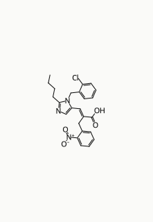 CCCCc1ncc(/C=C(\Cc2ccccc2[N+](=O)[O-])C(=O)O)n1Cc1ccccc1Cl